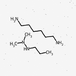 CCCNN(C)C.NCCCCCCN